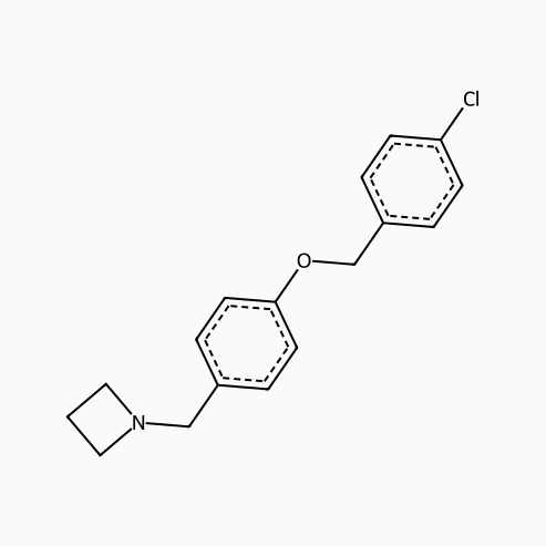 Clc1ccc(COc2ccc(CN3CCC3)cc2)cc1